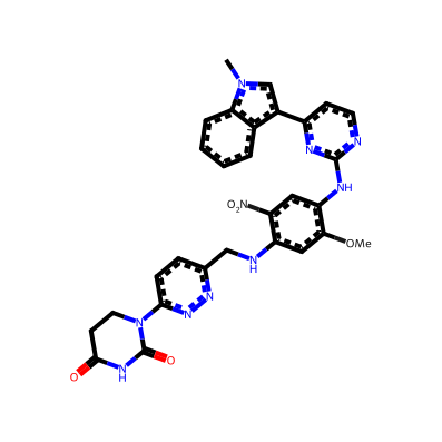 COc1cc(NCc2ccc(N3CCC(=O)NC3=O)nn2)c([N+](=O)[O-])cc1Nc1nccc(-c2cn(C)c3ccccc23)n1